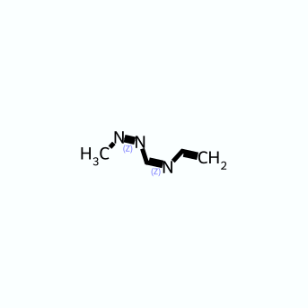 C=C/N=C\N=N/C